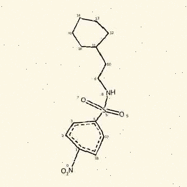 O=[N+]([O-])c1ccc(S(=O)(=O)NCCC2CCCCC2)cc1